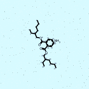 CCCCC(CC)COC(=O)c1ccccc1C(=O)OCC(CC)CCCC.N